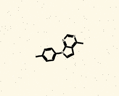 Cc1ccc(-n2ccc3c(C)ncnc32)cc1